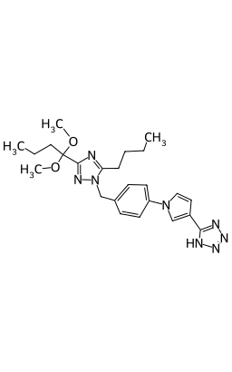 CCCCc1nc(C(CCC)(OC)OC)nn1Cc1ccc(-n2ccc(-c3nnn[nH]3)c2)cc1